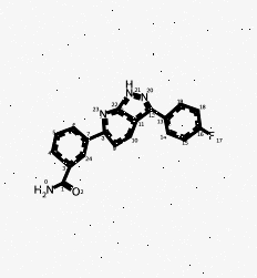 NC(=O)c1cccc(-c2ccc3c(-c4ccc(F)cc4)n[nH]c3n2)c1